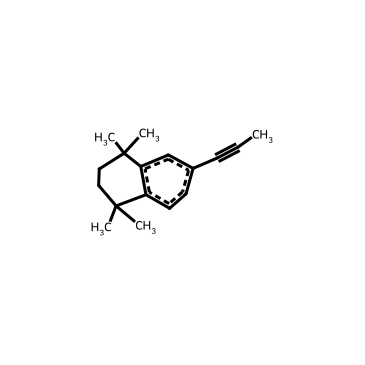 CC#Cc1ccc2c(c1)C(C)(C)CCC2(C)C